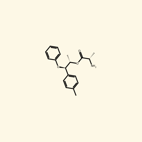 Cc1ccc([C@@H](Oc2ccccc2)[C@H](C)OC(=O)[C@H](C)N)cc1